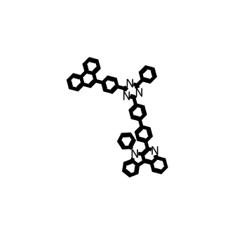 C1=Cc2c(nc(-c3ccc(-c4ccc(-c5nc(-c6ccccc6)nc(-c6ccc(-c7cc8ccccc8c8ccccc78)cc6)n5)cc4)cc3)c3c2c2ccccc2n3-c2ccccc2)CC1